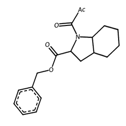 CC(=O)C(=O)N1C(C(=O)OCc2ccccc2)CC2CCCCC21